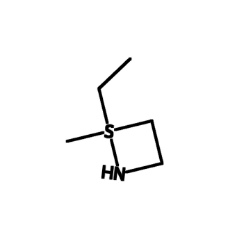 CCS1(C)CCN1